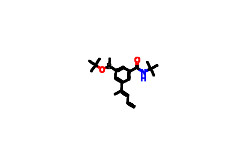 C=C/C=C(\C)c1cc(B(C)OC(C)(C)C)cc(C(=O)NC(C)(C)C)c1